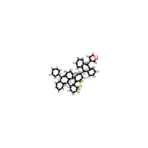 c1ccc(-c2c3ccccc3c(-c3cccc4sc5cc(-c6c7ccccc7c(-c7ccoc7)c7ccccc67)ccc5c34)c3ccccc23)cc1